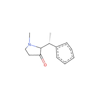 C[C@H](c1ccccc1)C1C(=O)CCN1C